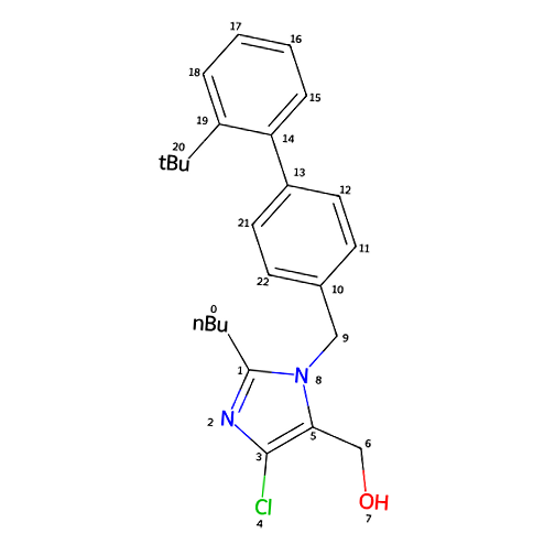 CCCCc1nc(Cl)c(CO)n1Cc1ccc(-c2ccccc2C(C)(C)C)cc1